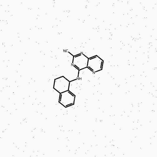 N#Cc1nc(NC2CCCc3ccccc32)c2ncccc2n1